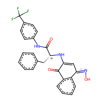 O=C1C(N[C@H](Cc2ccccc2)C(=O)Nc2ccc(C(F)(F)F)cc2)=C/C(=N/O)c2ccccc21